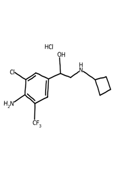 Cl.Nc1c(Cl)cc(C(O)CNC2CCC2)cc1C(F)(F)F